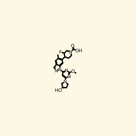 COc1nc(N2CC[C@@H](O)C2)cc(-n2ncc3cc(C)c(C4CCN(C(=O)O)CC4F)cc32)n1